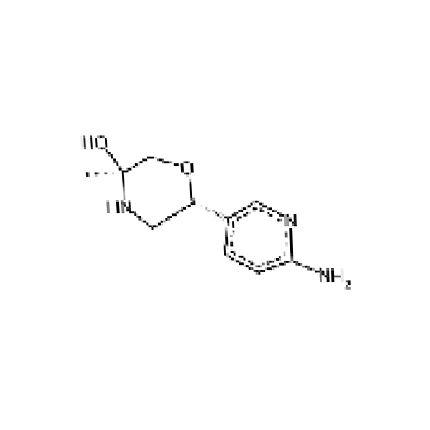 C[C@]1(O)CO[C@H](c2ccc(N)nc2)CN1